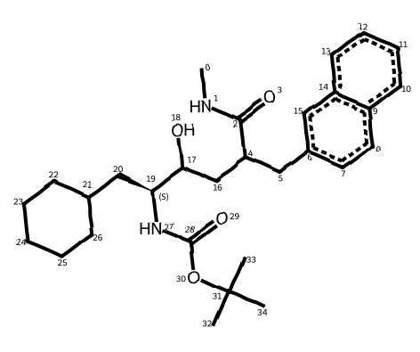 CNC(=O)C(Cc1ccc2ccccc2c1)CC(O)[C@H](CC1CCCCC1)NC(=O)OC(C)(C)C